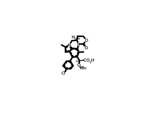 Cc1c([C@H](OC(C)(C)C)C(=O)O)c(-c2ccc(Cl)cc2)c2cc(C)n3c2c1N1C(=O)OCC[C@@H]1C3